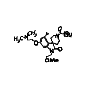 COCCN1C(=O)C2(CCN(C(=O)C(C)(C)C)CC2)c2c(F)cc(OCCN(C)C)cc21